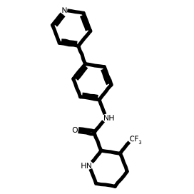 O=C(Nc1ccc(-c2ccncc2)cc1)C1NCCCC1C(F)(F)F